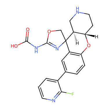 O=C(O)NC1=NC2(CO1)c1cc(-c3cccnc3F)ccc1O[C@H]1CCNC[C@@H]12